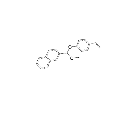 C=Cc1ccc(OC(OC)c2ccc3ccccc3c2)cc1